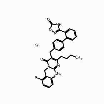 CCCCc1nc(C)n(Cc2c(F)cccc2F)c(=O)c1Cc1ccc(-c2ccccc2-c2noc(=O)[nH]2)cc1.[KH]